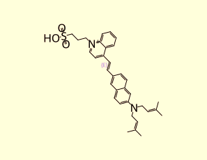 CC(C)=CCN(CC=C(C)C)c1ccc2cc(/C=C/c3cc[n+](CCCS(=O)(=O)O)c4ccccc34)ccc2c1